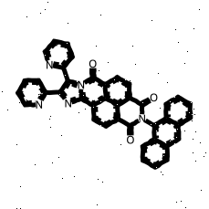 O=C1c2ccc3c(=O)n4c(-c5ccccn5)c(-c5ccccn5)nc4c4ccc(c2c34)C(=O)N1c1c2ccccc2cc2ccccc12